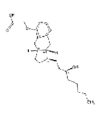 CCCCC[C@H](O)CC[C@H]1CC[C@@H]2Cc3c(cccc3OCC(=O)O)C[C@H]12